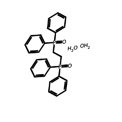 O.O.O=P(CCP(=O)(c1ccccc1)c1ccccc1)(c1ccccc1)c1ccccc1